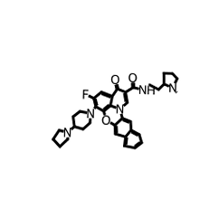 CN1CCCC1CCNC(=O)c1cn2c3c(c(N4CCC(N5CCCC5)CC4)c(F)cc3c1=O)Oc1cc3ccccc3cc1-2